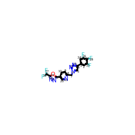 Fc1cc(-c2cn(Cc3ccc(-c4nnc(C(F)F)o4)cn3)nn2)cc(F)c1F